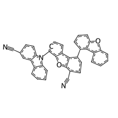 N#Cc1ccc2c(c1)c1ccccc1n2-c1cccc2c1oc1c(C#N)ccc(-c3cccc4oc5ccccc5c34)c12